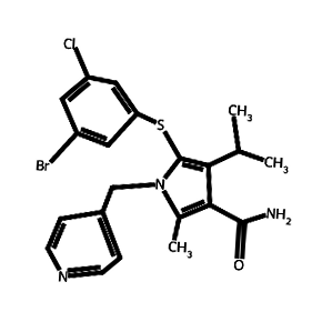 Cc1c(C(N)=O)c(C(C)C)c(Sc2cc(Cl)cc(Br)c2)n1Cc1ccncc1